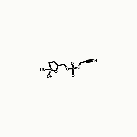 C#CCOS(=O)(=O)OCC1CCS(O)(O)O1